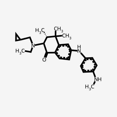 CCN(CC1CC1)C1C(=O)c2ccc(Nc3ccc(NC)cc3)cc2C(C)(C)[C@H]1C